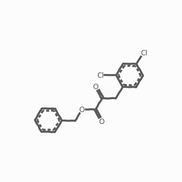 O=C(Cc1ccc(Cl)cc1Cl)C(=O)OCc1ccccc1